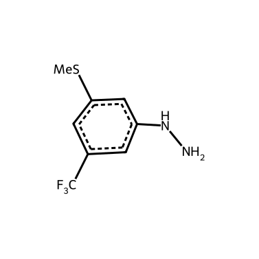 CSc1cc(NN)cc(C(F)(F)F)c1